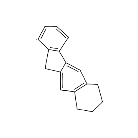 [c]1cccc2c1Cc1cc3c(cc1-2)CCCC3